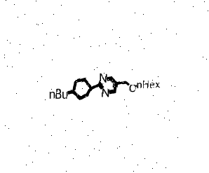 CCCCCCOCc1cnc(C2CCC(CCCC)CC2)nc1